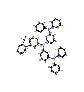 CC1(C)c2ccccc2-c2cc(N(c3cccc(N(c4ccccc4)c4ccccc4)c3)c3cccc(N(c4ccccc4)c4ccccc4)c3)ccc21